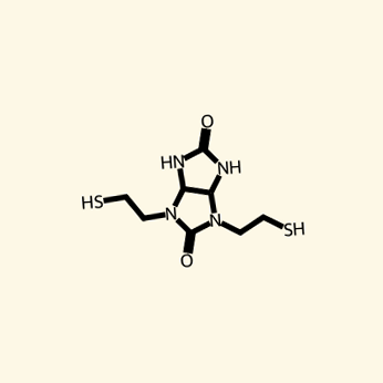 O=C1NC2C(N1)N(CCS)C(=O)N2CCS